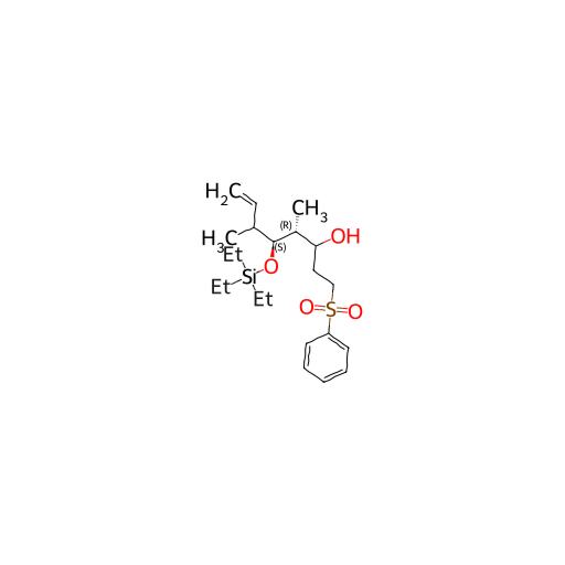 C=CC(C)[C@H](O[Si](CC)(CC)CC)[C@H](C)C(O)CCS(=O)(=O)c1ccccc1